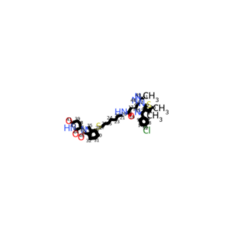 Cc1sc2c(c1C)C(c1ccc(Cl)cc1)=N[C@@H](CC(=O)NCCCCCCCSc1cccc3c1CN(C1CCC(=O)NC1=O)C3=O)c1nnc(C)n1-2